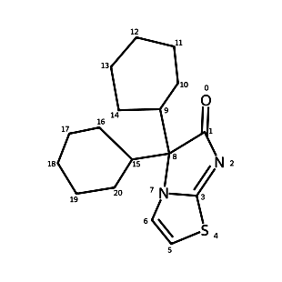 O=C1N=C2SC=CN2C1(C1CCCCC1)C1CCCCC1